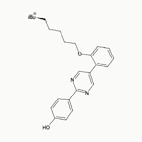 CC[C@H](C)CCCCCOc1ccccc1-c1cnc(-c2ccc(O)cc2)nc1